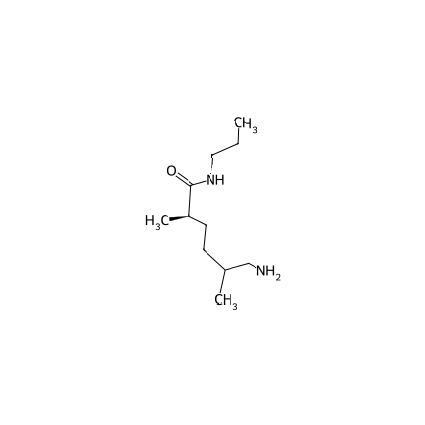 CCCNC(=O)[C@H](C)CCC(C)CN